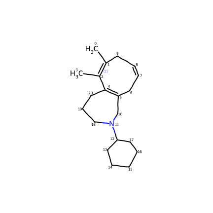 C/C1=C(\C)C2=C(CC=CC1)CN(C1CCCCC1)CCC2